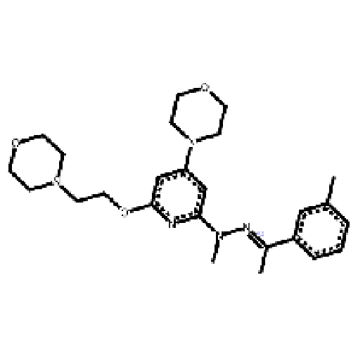 C/C(=N\N(C)c1cc(N2CCOCC2)cc(OCCN2CCOCC2)n1)c1cccc(C)c1